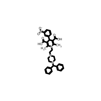 CC1=C(C(=O)O)C(c2cccc([N+](=O)[O-])c2)C(C(=O)O)=C(C)N1CCN1CCN(C(c2ccccc2)c2ccccc2)CC1